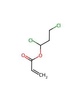 C=CC(=O)OC(Cl)CCCl